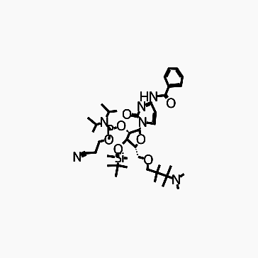 CC(C)N(C(C)C)P(OCCC#N)O[C@H]1C(O[Si](C)(C)C(C)(C)C)[C@@H](COCC(C)(C)C(C)(C)N(C)C)O[C@H]1n1ccc(NC(=O)c2ccccc2)nc1=O